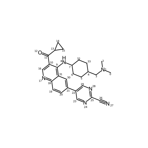 CN(C)CC1CCC(Nc2c(C(=O)C3CC3)cnc3ccc(-c4cnc(C#N)nc4)cc23)CC1